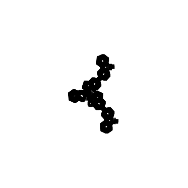 C[C@H](CCl)C1([Si](C)(C)C2(C(=O)OCc3ccccc3)C=Cc3cc(-c4ccc5c(c4)c4ccccc4n5C)ccc32)C=Cc2cc(-c3ccc4c(c3)c3ccccc3n4C)ccc21